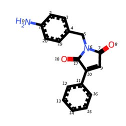 Nc1ccc(CN2C(=O)C=C(c3ccccc3)C2=O)cc1